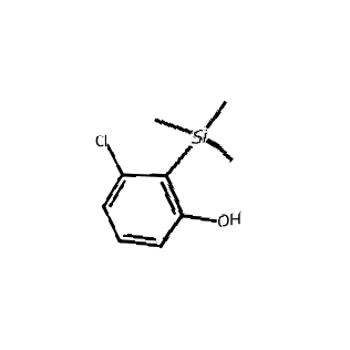 C[Si](C)(C)c1c(O)cccc1Cl